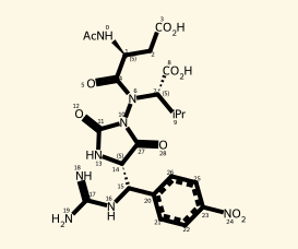 CC(=O)N[C@@H](CC(=O)O)C(=O)N([C@H](C(=O)O)C(C)C)N1C(=O)N[C@@H](C(NC(=N)N)c2ccc([N+](=O)[O-])cc2)C1=O